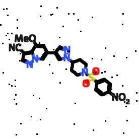 COc1cc(-c2cnn(C3CCN(S(=O)(=O)c4ccc([N+](=O)[O-])cc4)CC3)c2)cn2ncc(C#N)c12